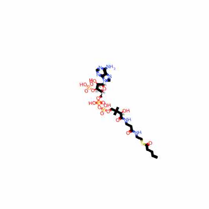 C=CCCC(=O)SCCNC(=O)CCNC(=O)[C@H](O)C(C)(C)COP(=O)(O)OP(=O)(O)OC[C@H]1O[C@@H](n2cnc3c(N)ncnc32)[C@H](O)[C@@H]1OP(=O)(O)O